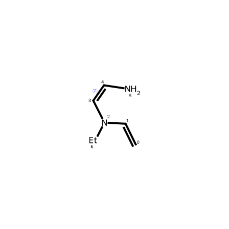 C=CN(/C=C\N)CC